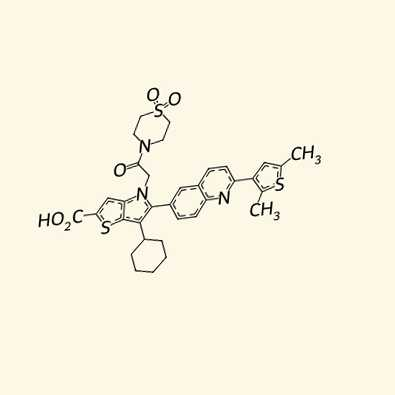 Cc1cc(-c2ccc3cc(-c4c(C5CCCCC5)c5sc(C(=O)O)cc5n4CC(=O)N4CCS(=O)(=O)CC4)ccc3n2)c(C)s1